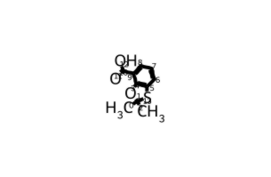 CC1(C)Oc2c(cccc2C(=O)O)S1